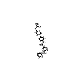 O=C(O)CC1CCC(c2ccc(NC(=O)c3nnc(Nc4ccncn4)o3)cc2)CC1